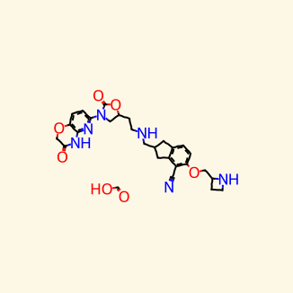 N#Cc1c(OCC2CCN2)ccc2c1CC(CNCCC1CN(c3ccc4c(n3)NC(=O)CO4)C(=O)O1)C2.O=CO